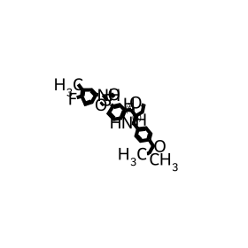 Cc1cc(NS(=O)(=O)c2ccc3c(c2)[C@H]2OCC[C@H]2C(c2ccc(C(=O)C(C)C)cc2)N3)ccc1F